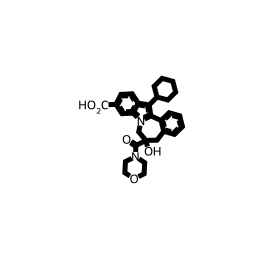 O=C(O)c1ccc2c(C3CCCCC3)c3n(c2c1)CC(O)(C(=O)N1CCOCC1)Cc1ccccc1-3